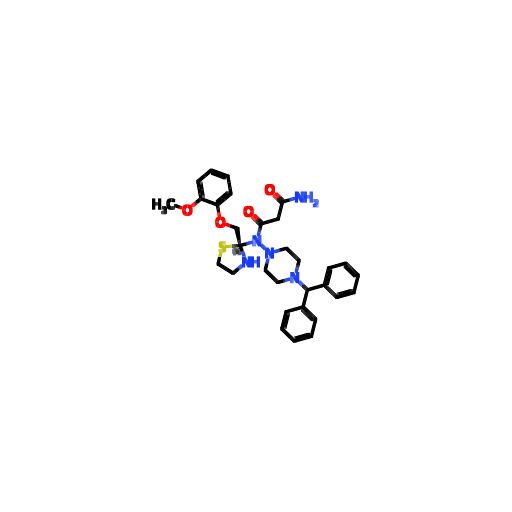 COc1ccccc1OC[C@@]1(N(C(=O)CC(N)=O)N2CCN(C(c3ccccc3)c3ccccc3)CC2)NCCS1